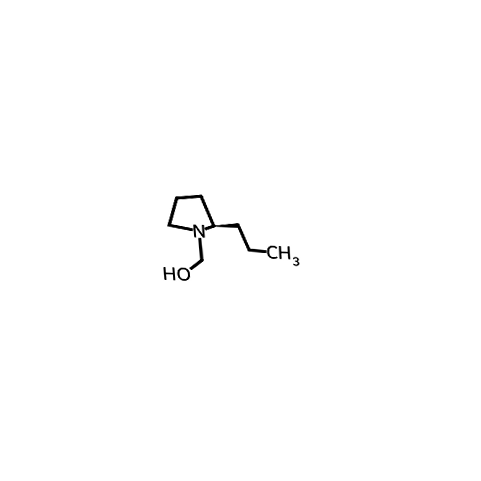 CCC[C@@H]1CCCN1CO